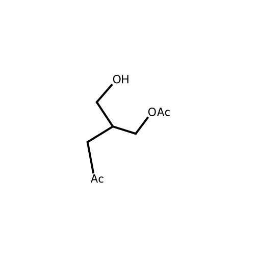 CC(=O)CC(CO)COC(C)=O